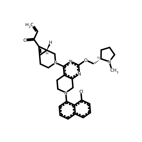 C=CC(=O)C1=C2CCN(c3nc(OC[C@@H]4CCCN4C)nc4c3CCN(c3cccc5cccc(Cl)c35)C4)C[C@H]21